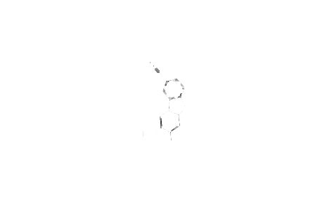 CC1=CC2Sc3ccc(C#N)cc3C2C=C1C